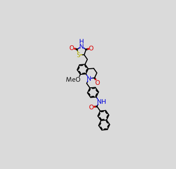 COc1ccc(CC2SC(=O)NC2=O)c2c1N(Cc1ccc(NC(=O)c3ccc4ccccc4c3)cc1)C(=O)CC2